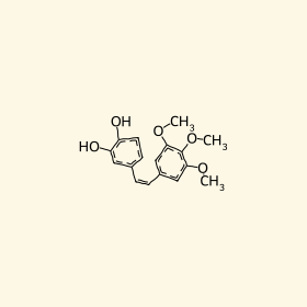 COc1cc(/C=C\c2ccc(O)c(O)c2)cc(OC)c1OC